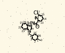 Cc1ccc(Cn2cc(NC(=O)c3cccc(Cl)n3)c3ccccc32)cc1